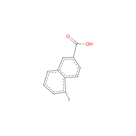 O=C(O)c1ccc2c(I)cccc2c1